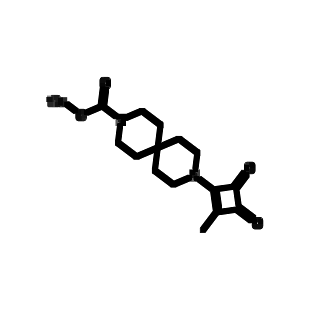 Cc1c(N2CCC3(CCN(C(=O)OC(C)(C)C)CC3)CC2)c(=O)c1=O